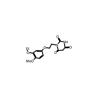 CCOc1cc(OCCN2C(=O)CC(=O)NC2=O)ccc1OC